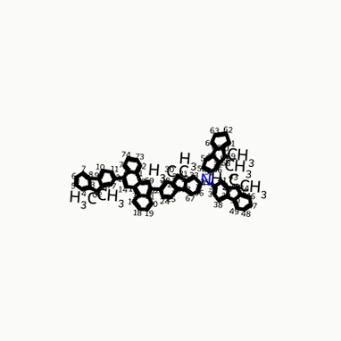 CC1(C)c2ccccc2-c2ccc(-c3cc4c5ccccc5c(-c5ccc6c(c5)C(C)(C)c5cc(N(c7ccc8c(c7)C(C)(C)c7ccccc7-8)c7ccc8c(c7)C(C)(C)c7ccccc7-8)ccc5-6)cc4c4ccccc34)cc21